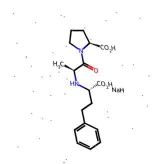 C[C@H](N[C@@H](CCc1ccccc1)C(=O)O)C(=O)N1CCC[C@H]1C(=O)O.[NaH]